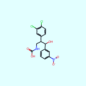 O=C(O)NCC(c1ccc(Cl)c(Cl)c1)C(O)c1cccc([N+](=O)[O-])c1